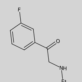 CCNCC(=O)c1cccc(F)c1